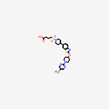 Cc1cnc(N2CCC(Oc3nc4ccc(C5=CCN(S(=O)(=O)CCCC(=O)O)CC5)cc4s3)CC2)nc1